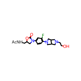 CC(=O)NCC1CN(c2ccc(N3CC4CN(CCO)CC4C3)c(F)c2)C(=O)O1